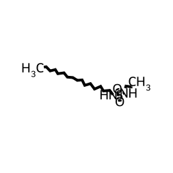 CCCCCCCCCCCCCCCCNS(=O)(=O)NCCC